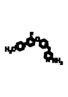 CN1CCN(c2ccc(OC3CCN(Cc4ccnc(N)c4)CC3)c(F)c2)CC1